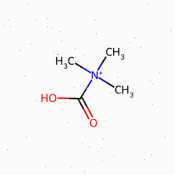 C[N+](C)(C)C(=O)O